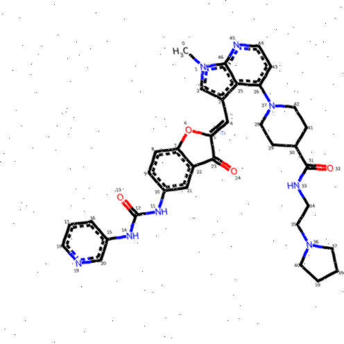 Cn1cc(/C=C2\Oc3ccc(NC(=O)Nc4cccnc4)cc3C2=O)c2c(N3CCC(C(=O)NCCN4CCCC4)CC3)ccnc21